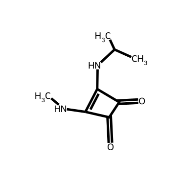 CNc1c(NC(C)C)c(=O)c1=O